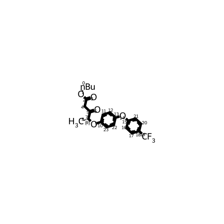 CCCCOC(=O)CC(=O)[C@@H](C)Oc1ccc(Oc2ccc(C(F)(F)F)cc2)cc1